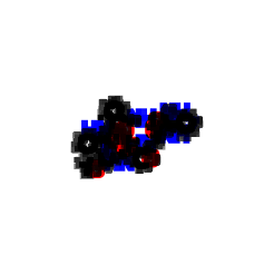 CCC(NC(=O)[C@@H]1C[C@@H](OC(C)(C)C)CN1C(=O)[C@@H](NC(=O)c1ccccc1C(N)=O)C1CCCCC1)C(=O)C(=O)NCC(=O)N[C@H](C(N)=O)c1ccccc1